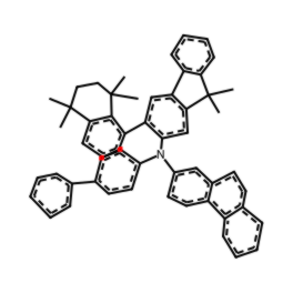 CC1(C)CCC(C)(C)c2c(-c3cc4c(cc3N(c3ccc(-c5ccccc5)cc3)c3ccc5c(ccc6ccccc65)c3)C(C)(C)c3ccccc3-4)cccc21